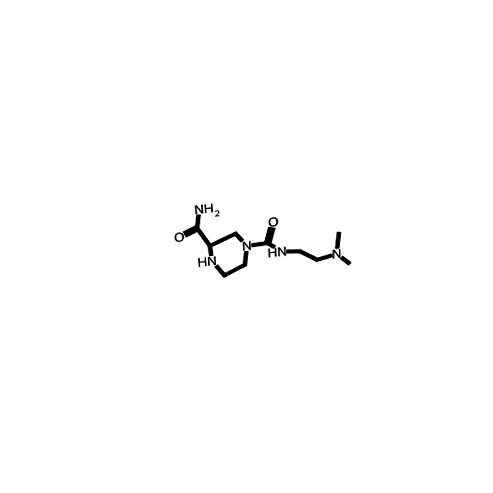 CN(C)CCNC(=O)N1CCNC(C(N)=O)C1